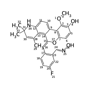 COc1c(O)ccc2c1-c1ccc3c(c1/C(=C/c1ccc(F)cc1/C=N/O)O2)C(C)=CC(C)(C)N3